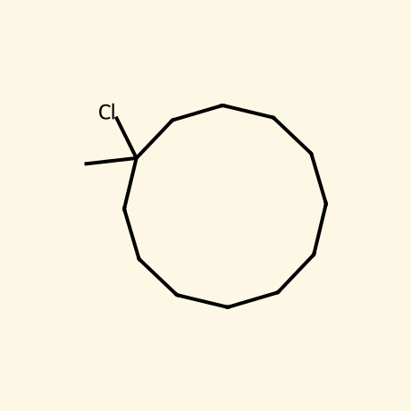 CC1(Cl)CCCCCCCCCCC1